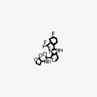 O=C(NC1CCOC1=O)c1cccc2[nH]c(-c3ccc(F)cc3C(F)(F)F)nc12